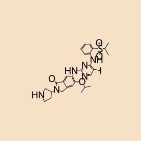 CC(C)Oc1cc2c(cc1Nc1ncc(I)c(Nc3ccccc3S(=O)(=O)C(C)C)n1)C(=O)N(C1CCNC1)C2